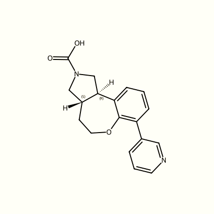 O=C(O)N1C[C@H]2CCOc3c(-c4cccnc4)cccc3[C@@H]2C1